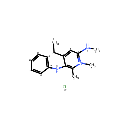 CCc1cc(NC)[n+](C)c(C)c1Nc1ccccc1.[Cl-]